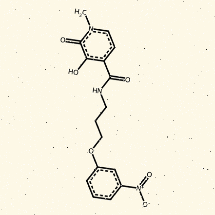 Cn1ccc(C(=O)NCCCOc2cccc([N+](=O)[O-])c2)c(O)c1=O